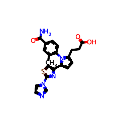 Cc1cc(C(N)=O)ccc1-n1c(CCC(=O)O)ccc1-c1csc(-n2ccnc2)n1